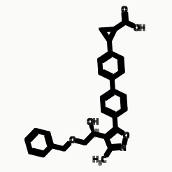 Cc1noc(-c2ccc(-c3ccc(C4CC4C(=O)O)cc3)cc2)c1[C@H](O)COCc1ccccc1